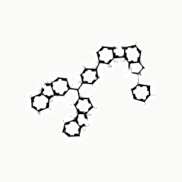 c1ccc([C@@H]2Cc3ccc4oc5ccc(-c6ccc(C(c7ccc8sc9ccccc9c8c7)c7ccc8sc9ccccc9c8c7)cc6)cc5c4c3O2)cc1